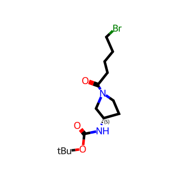 CC(C)(C)OC(=O)N[C@H]1CCN(C(=O)CCCCBr)C1